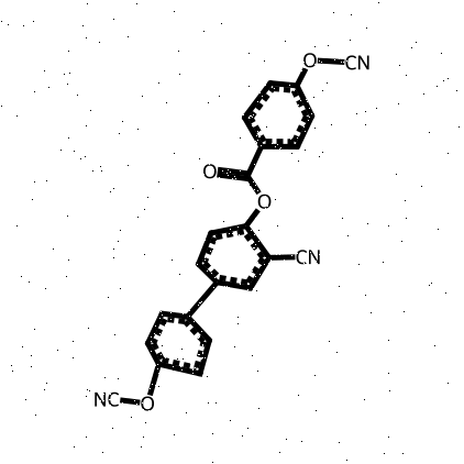 N#COc1ccc(C(=O)Oc2ccc(-c3ccc(OC#N)cc3)cc2C#N)cc1